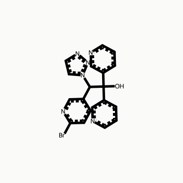 OC(c1cccnc1)(c1cccnc1)C(c1ccc(Br)nc1)n1ccnn1